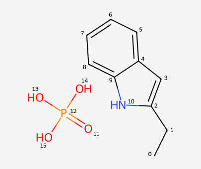 CCc1cc2ccccc2[nH]1.O=P(O)(O)O